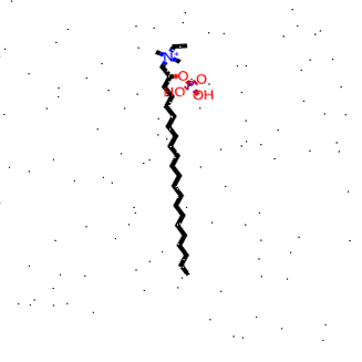 CCCCCCCCCCCCCCCCCCCCC(C[N+](C)(C)CC)OP(=O)(O)O